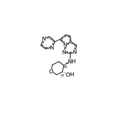 O[C@@H]1COCC[C@H]1Nc1ncc2ccc(-c3cnccn3)n2n1